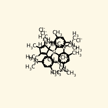 CC1=C(C)[C]([Ti+3])([Si](c2cc(N(C)C)cc(C)c2N(C)C)(c2cc(N(C)C)cc(C)c2N(C)C)c2cc(N(C)C)cc(C)c2N(C)C)C(C)=C1C.[Cl-].[Cl-].[Cl-]